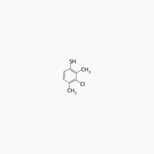 Cc1ccc(S)c(C)c1Cl